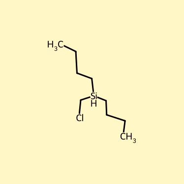 CCCC[SiH](CCl)CCCC